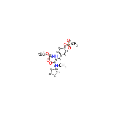 CN(C(=O)[C@H](Cc1ccc(OS(=O)(=O)C(F)(F)F)cc1)NC(=O)OC(C)(C)C)C1CCCC1